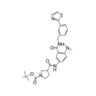 CN(C)c1ccc(NC(=O)C2CCN(C(=O)OC(C)(C)C)C2)cc1C(=O)NCc1cccc(-c2nccs2)c1